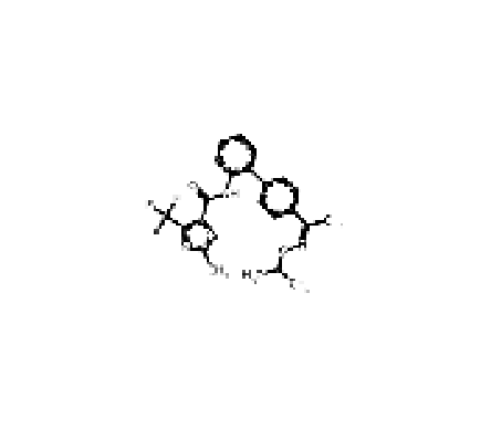 C/C(=N/OC(C)C)c1ccc(-c2ccccc2NC(=O)c2sc(C)nc2C(F)(F)F)cc1